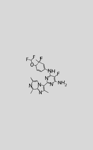 Cc1cn2c(-c3nc(N)c(F)c(NC4=CC(C)(F)C(OC(F)F)C=C4)n3)c(C)nc2c(C)n1